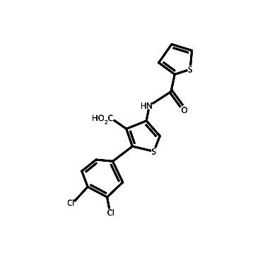 O=C(Nc1csc(-c2ccc(Cl)c(Cl)c2)c1C(=O)O)c1cccs1